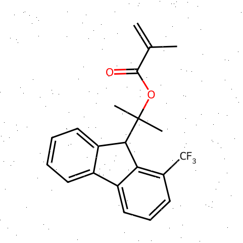 C=C(C)C(=O)OC(C)(C)C1c2ccccc2-c2cccc(C(F)(F)F)c21